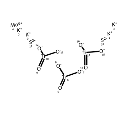 [K+].[K+].[K+].[K+].[Mo+6].[O]=[Ti]([O-])[O-].[O]=[Ti]([O-])[O-].[O]=[Ti]([O-])[O-].[S-2].[S-2]